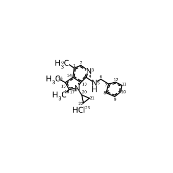 Cc1cnc(NCc2ccccc2)c2c1c(C)c(C)n2C1CC1.Cl